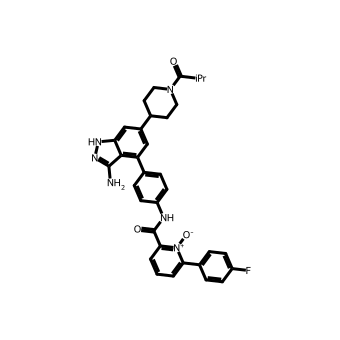 CC(C)C(=O)N1CCC(c2cc(-c3ccc(NC(=O)c4cccc(-c5ccc(F)cc5)[n+]4[O-])cc3)c3c(N)n[nH]c3c2)CC1